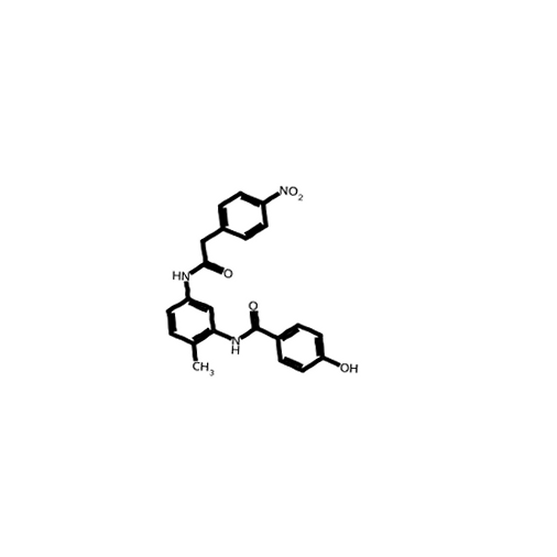 Cc1ccc(NC(=O)Cc2ccc([N+](=O)[O-])cc2)cc1NC(=O)c1ccc(O)cc1